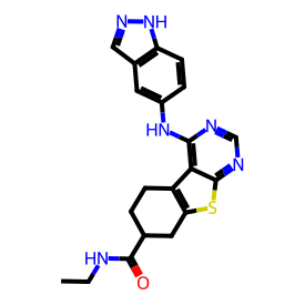 CCNC(=O)C1CCc2c(sc3ncnc(Nc4ccc5[nH]ncc5c4)c23)C1